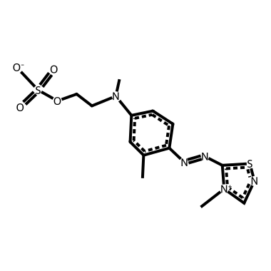 Cc1cc(N(C)CCOS(=O)(=O)[O-])ccc1N=Nc1snc[n+]1C